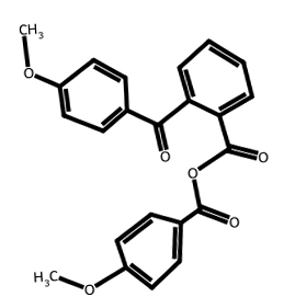 COc1ccc(C(=O)OC(=O)c2ccccc2C(=O)c2ccc(OC)cc2)cc1